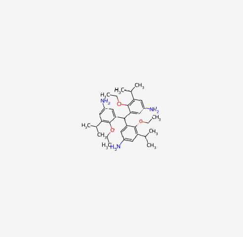 CCOc1c(C(C)C)cc(N)cc1C(c1cc(N)cc(C(C)C)c1OCC)c1cc(N)cc(C(C)C)c1OCC